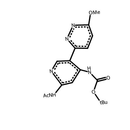 COc1ccc(-c2cnc(NC(C)=O)cc2NC(=O)OC(C)(C)C)nn1